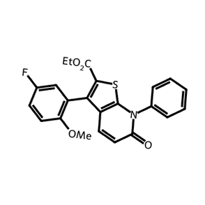 CCOC(=O)c1sc2c(ccc(=O)n2-c2ccccc2)c1-c1cc(F)ccc1OC